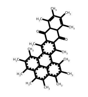 CC1=C(C)C2C(=O)c3c(c(C)c4c(c3C)c3c(C)c(C)c(C)c5c(C)c(C)c6c(C)c(C)c(C)c4c6c53)C(=O)C2C(C)=C1C